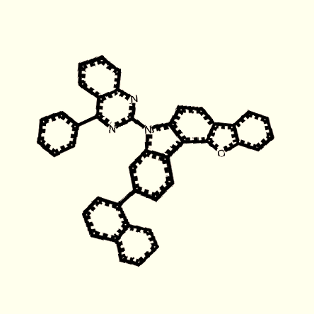 c1ccc(-c2nc(-n3c4cc(-c5cccc6ccccc56)ccc4c4c5oc6ccccc6c5ccc43)nc3ccccc23)cc1